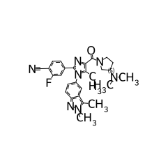 Cc1c2cc(-n3c(-c4ccc(C#N)c(F)c4)nc(C(=O)N4CC[C@H](N(C)C)C4)c3C)ccc2nn1C